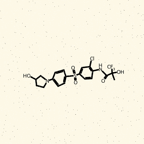 CC(O)(C(=O)Nc1ccc(S(=O)(=O)c2ccc(N3CCC(O)C3)cc2)cc1Cl)C(F)(F)F